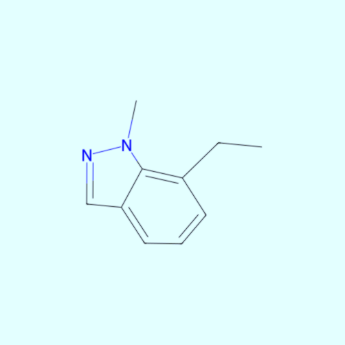 CCc1cccc2cnn(C)c12